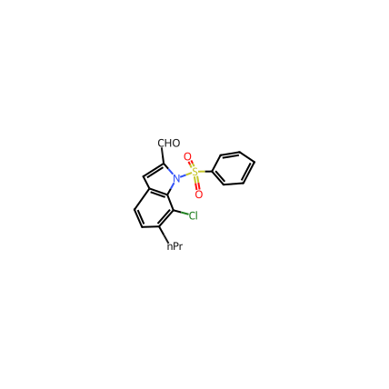 CCCc1ccc2cc(C=O)n(S(=O)(=O)c3ccccc3)c2c1Cl